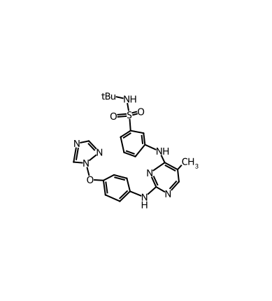 Cc1cnc(Nc2ccc(On3cncn3)cc2)nc1Nc1cccc(S(=O)(=O)NC(C)(C)C)c1